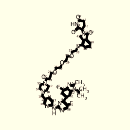 Cc1nc2c(F)cc(-c3nc(Nc4ccc(CN5CCN(C(=O)CCOCCOCCOCCSc6cccc7c6CN(C6CCC(=O)NC6=O)C7=O)CC5)cn4)ncc3F)cc2n1C(C)C